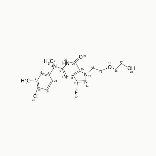 Cc1cc(N(C)c2nc3c(F)nn(CCOCCO)c3c(=O)[nH]2)ccc1Cl